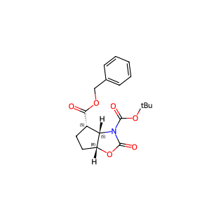 CC(C)(C)OC(=O)N1C(=O)O[C@@H]2CC[C@H](C(=O)OCc3ccccc3)[C@@H]21